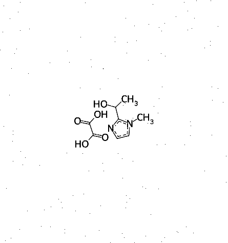 CC(O)c1nccn1C.O=C(O)C(=O)O